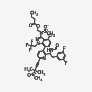 CCCC(=O)OCN(c1nn(CC(F)(F)F)c2c(-c3ccc(C#CC(C)(C)[S+](C)[O-])nc3C(Cc3cc(F)cc(F)c3)NC=O)ccc(Cl)c12)[S+](C)[O-]